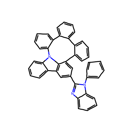 c1ccc(-n2c(-c3cc4c5ccccc5c5ccccc5c5ccccc5n5c6ccccc6c(c3)c45)nc3ccccc32)cc1